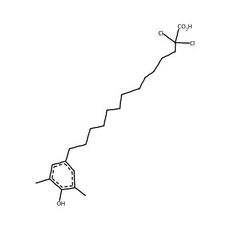 Cc1cc(CCCCCCCCCCCCC(Cl)(Cl)C(=O)O)cc(C)c1O